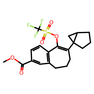 COC(=O)c1ccc2c(c1)CCCC(C13CCCC1C3)=C2OS(=O)(=O)C(F)(F)F